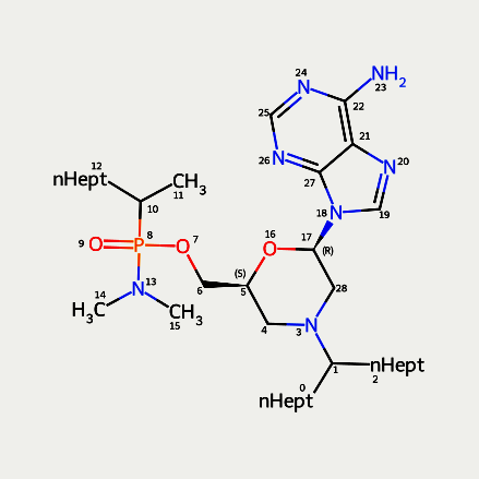 CCCCCCCC(CCCCCCC)N1C[C@@H](COP(=O)(C(C)CCCCCCC)N(C)C)O[C@@H](n2cnc3c(N)ncnc32)C1